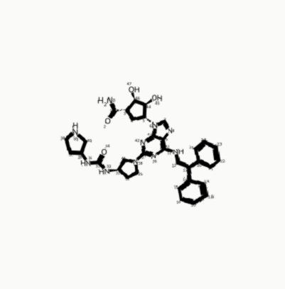 NC(=O)[C@H]1C[C@@H](n2cnc3c(NCC(c4ccccc4)c4ccccc4)nc(N4CC[C@@H](NC(=O)NC5CCNC5)C4)nc32)[C@H](O)[C@@H]1O